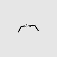 C[CH2][Am][CH2]C